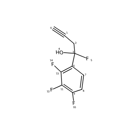 C#CCC(O)(F)c1ccc(F)c(F)c1F